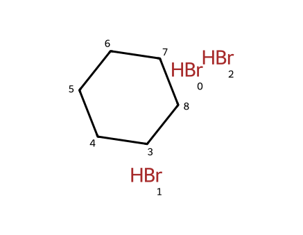 Br.Br.Br.C1CCCCC1